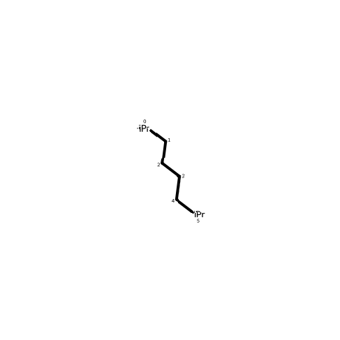 C[C](C)CCCCC(C)C